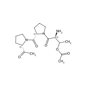 CC(=O)OC(C)[C@H](N)C(=O)N1CCC[C@H]1C(=O)N1CCC[C@H]1C(C)=O